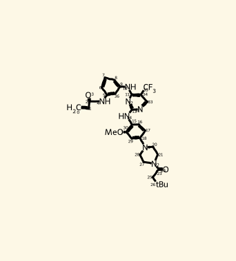 C=CC(=O)Nc1cccc(Nc2nc(Nc3ccc(N4CCN(C(=O)CC(C)(C)C)CC4)cc3OC)ncc2C(F)(F)F)c1